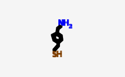 NCCc1ccc(CCS)cc1